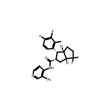 CC(=O)c1cnccc1NC(=O)[C@@H]1C[C@@H]2[C@@H](CCC2(F)F)[C@H]1c1ccc(F)c(F)c1C